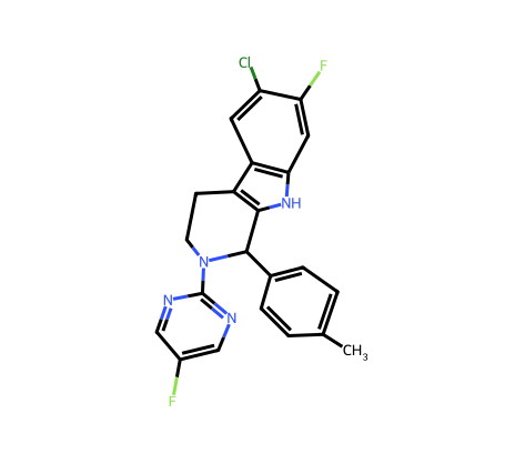 Cc1ccc(C2c3[nH]c4cc(F)c(Cl)cc4c3CCN2c2ncc(F)cn2)cc1